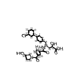 O=C(NN(Cc1ccc(-c2cccc(Cl)c2)cc1)CC(O)C(=O)O)c1cc(C(=O)N2CCC(O)C2)n[nH]1